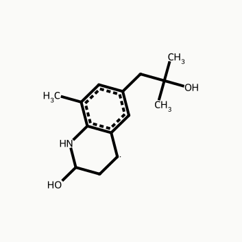 Cc1cc(CC(C)(C)O)cc2c1NC(O)C[CH]2